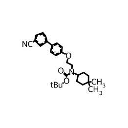 CC1(C)CCC(N(CCOc2ccc(-c3cccc(C#N)c3)cc2)C(=O)OC(C)(C)C)CC1